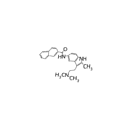 Cc1[nH]c2ccc(NC(=O)c3ccc4ccccc4c3)cc2c1CCN(C)C